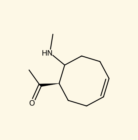 CNC1CC/C=C\CC[C@H]1C(C)=O